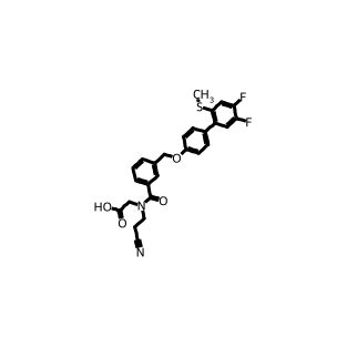 CSc1cc(F)c(F)cc1-c1ccc(OCc2cccc(C(=O)N(CCC#N)CC(=O)O)c2)cc1